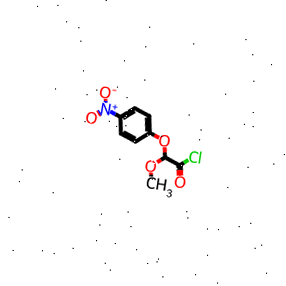 COC(Oc1ccc([N+](=O)[O-])cc1)C(=O)Cl